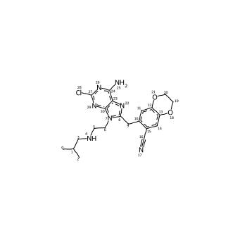 CC(C)CNCCn1c(Cc2cc3c(cc2C#N)OCCO3)nc2c(N)nc(Cl)nc21